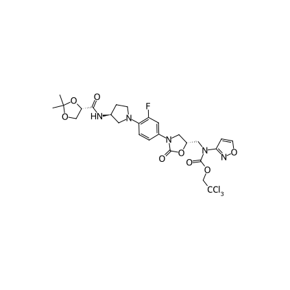 CC1(C)OC[C@@H](C(=O)N[C@H]2CCN(c3ccc(N4C[C@H](CN(C(=O)OCC(Cl)(Cl)Cl)c5ccon5)OC4=O)cc3F)C2)O1